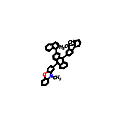 CN1C2=CC(c3c4ccccc4c(-c4ccc5c(c4)C(C)(C)c4ccccc4-5)c4cc(-c5cccc6ccccc56)ccc34)=CCC2Oc2ccccc21